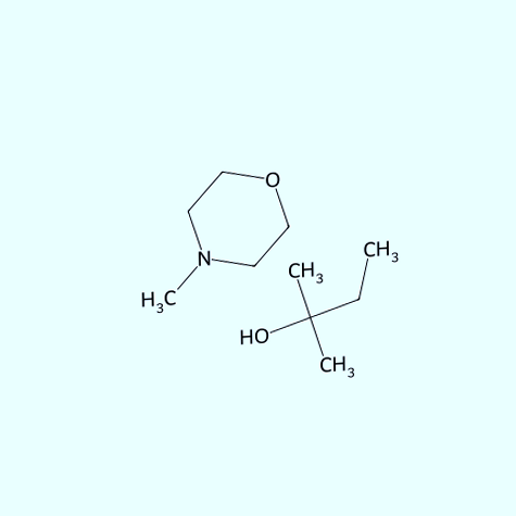 CCC(C)(C)O.CN1CCOCC1